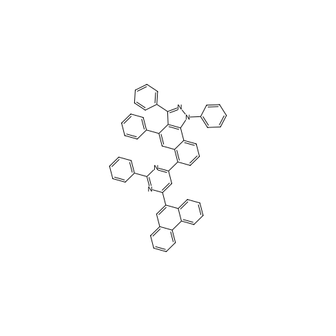 c1ccc(-c2nc(-c3cc4ccccc4c4ccccc34)cc(-c3cccc4c3cc(-c3ccccc3)c3c(-c5ccccc5)nn(-c5ccccc5)c34)n2)cc1